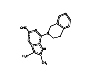 Cc1[nH]c2c(N3CCc4ccccc4C3)nc(C=O)cc2c1C